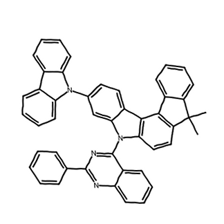 CC1(C)c2ccccc2-c2c1ccc1c2c2ccc(-n3c4ccccc4c4ccccc43)cc2n1-c1nc(-c2ccccc2)nc2ccccc12